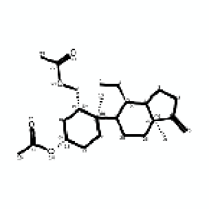 C=C1CCC2[C@H](CC)C([C@@]3(C)CC[C@H](OC(C)=O)C[C@@H]3COC(C)=O)CC[C@]12C